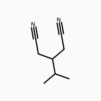 CC(C)C(CC#N)CC#N